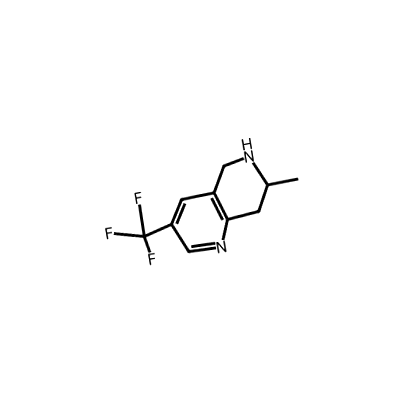 CC1Cc2ncc(C(F)(F)F)cc2CN1